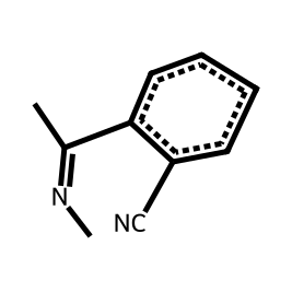 C/N=C(/C)c1ccccc1C#N